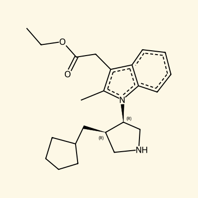 CCOC(=O)Cc1c(C)n([C@H]2CNC[C@H]2CC2CCCC2)c2ccccc12